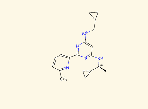 C[C@H](Nc1cc(NCC2CC2)nc(-c2cccc(C(F)(F)F)n2)n1)C1CC1